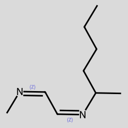 CCCCC(C)/N=C\C=N/C